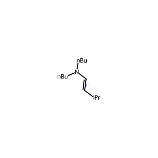 CCCCN(/C=C/C(C)C)CCCC